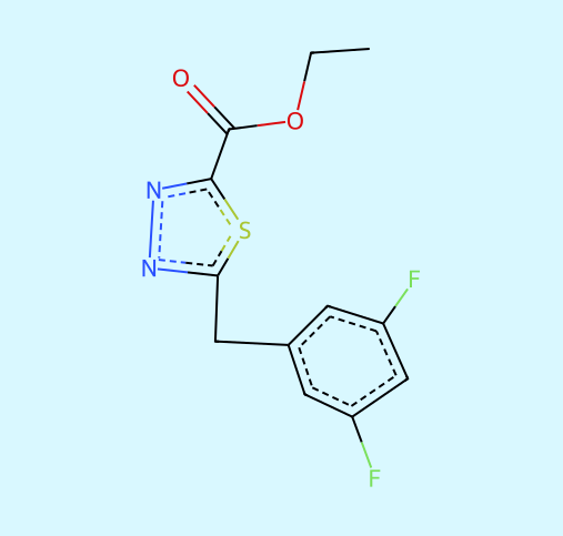 CCOC(=O)c1nnc(Cc2cc(F)cc(F)c2)s1